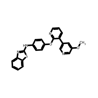 COc1cncc(-c2cccnc2Oc2ccc(Nc3nc4ccccc4s3)cc2)c1